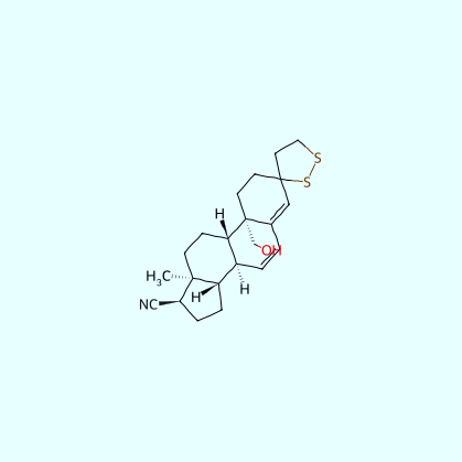 C[C@]12CC[C@H]3[C@@H](C=CC4=CC5(CCSS5)CC[C@@]43CO)[C@@H]1CC[C@H]2C#N